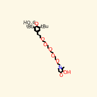 Cc1c(O)c(=O)ccn1CCOCCOCCOCCOCCOCCCc1cc(C(C)(C)C)c(OC(=O)O)c(C(C)(C)C)c1